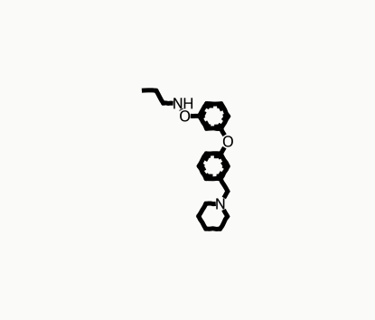 CCCNOc1cccc(Oc2cccc(CN3CCCCC3)c2)c1